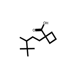 CC(CCC1(C(=O)O)CCC1)C(C)(C)C